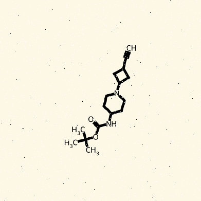 C#CC1CC(N2CCC(NC(=O)OC(C)(C)C)CC2)C1